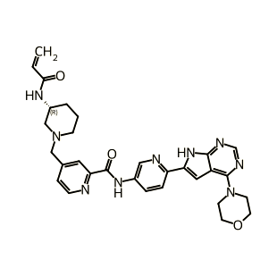 C=CC(=O)N[C@@H]1CCCN(Cc2ccnc(C(=O)Nc3ccc(-c4cc5c(N6CCOCC6)ncnc5[nH]4)nc3)c2)C1